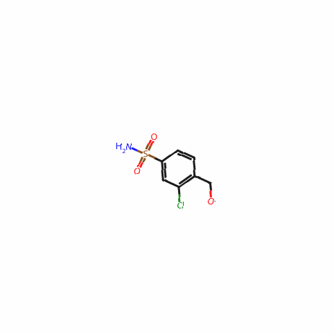 NS(=O)(=O)c1ccc(C[O])c(Cl)c1